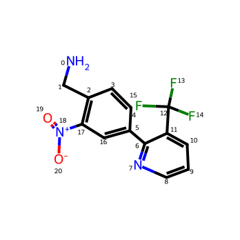 NCc1ccc(-c2ncccc2C(F)(F)F)cc1[N+](=O)[O-]